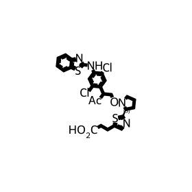 CC(=O)C(CON1CCC[C@H]1c1ncc(CCC(=O)O)s1)c1cc(Cl)c(Nc2nc3ccccc3s2)cc1Cl